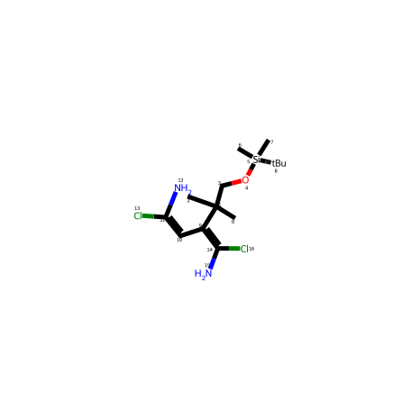 CC(C)(CO[Si](C)(C)C(C)(C)C)C(/C=C(\N)Cl)=C(/N)Cl